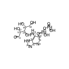 Nc1ncnc2nc[nH]c12.O=CC(O)C(O)C(O)CO.O=[PH](O)O[PH](=O)O